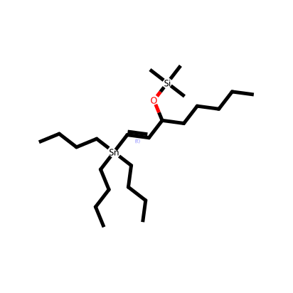 CCCCCC(/C=[CH]/[Sn]([CH2]CCC)([CH2]CCC)[CH2]CCC)O[Si](C)(C)C